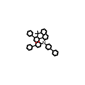 CC1(C)c2c(-c3ccccc3)cccc2-c2c(N(c3ccc(-c4ccccc4)cc3)c3ccc(-c4ccccc4)cc3)ccc3cccc1c23